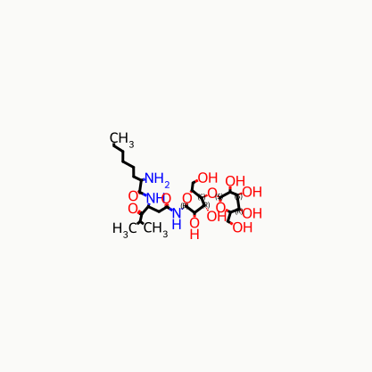 CCCCCCC(N)C(=O)NC(CC(=O)N[C@@H]1OC(CO)[C@@H](O[C@@H]2OC(CO)[C@H](O)[C@H](O)C2O)[C@H](O)C1O)C(=O)C(C)C